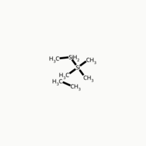 CC.C[SiH2][Si](C)(C)C